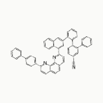 N#Cc1ccc(-c2ccccc2-c2cc(-c3ccc4ccc5ccc(-c6ccc(-c7ccccc7)cc6)nc5c4n3)c3ccccc3c2)c(-c2ccccc2)c1